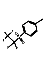 Cc1ccc(S(=O)(=O)C(F)(F)C(F)(F)F)cc1